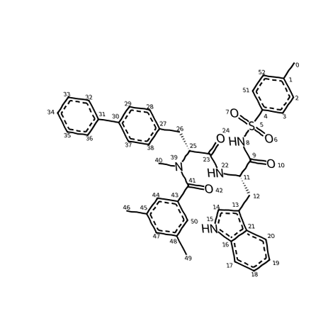 Cc1ccc(S(=O)(=O)NC(=O)[C@H](Cc2c[nH]c3ccccc23)NC(=O)[C@@H](Cc2ccc(-c3ccccc3)cc2)N(C)C(=O)c2cc(C)cc(C)c2)cc1